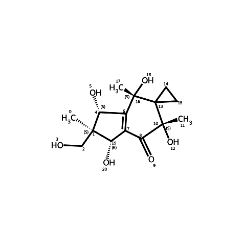 C[C@]1(CO)[C@H](O)C2=C(C(=O)[C@@](C)(O)C3(CC3)[C@@]2(C)O)[C@@H]1O